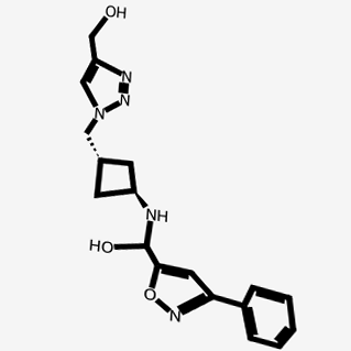 OCc1cn(C[C@H]2C[C@H](NC(O)c3cc(-c4ccccc4)no3)C2)nn1